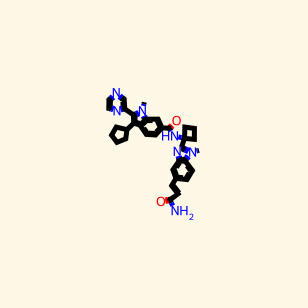 Cn1c(C2(NC(=O)c3ccc4c(C5CCCC5)c(-c5cnccn5)n(C)c4c3)CCC2)nc2cc(/C=C/C(N)=O)ccc21